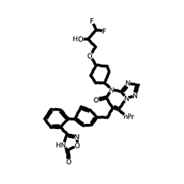 CCCc1c(Cc2ccc(-c3ccccc3-c3noc(=O)[nH]3)cc2)c(=O)n(C2CCC(OCC(O)C(F)F)CC2)c2ncnn12